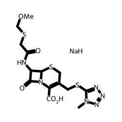 COCSCC(=O)NC1C(=O)N2C(C(=O)O)=C(CSc3nnnn3C)CSC12.[NaH]